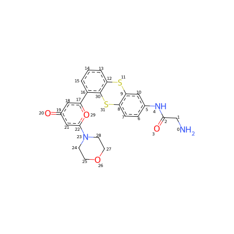 NCC(=O)Nc1ccc2c(c1)Sc1cccc(-c3cc(=O)cc(N4CCOCC4)o3)c1S2